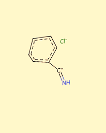 N=[C+]c1ccccc1.[Cl-]